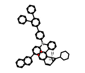 C1=Cc2cccc(-c3ccccc3N(c3ccc(-c4ccc(-c5ccccc5)c(-c5ccccc5)c4)cc3)c3ccc(-c4ccc5ccccc5c4)cc3)c2[C@@H]2C1=C2C1CCCCC1